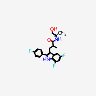 CC(Cc1c(-c2ccc(F)cc2)[nH]c2c(F)cc(F)cc12)C(=O)N[C@@H](CO)C(F)(F)F